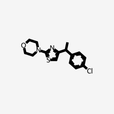 CC(c1ccc(Cl)cc1)c1csc(N2CCOCC2)n1